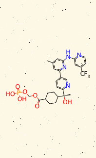 Cc1cc(Nc2cc(C(F)(F)F)ccn2)nc(-c2ccc([C@](C)(O)C3CCC(C(=O)OCOP(=O)(O)O)CC3)nc2)c1